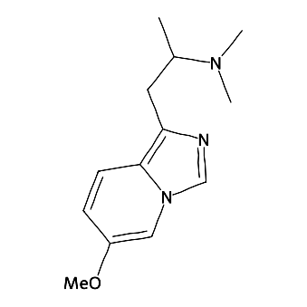 COc1ccc2c(CC(C)N(C)C)ncn2c1